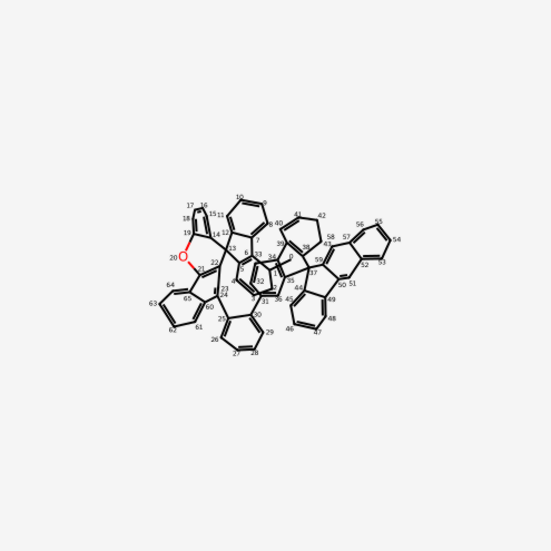 CC1CC=CC2=C1c1ccccc1C21c2ccccc2Oc2c1cc(-c1ccccc1-c1ccc3c(c1)C1(C4=C3C=CCC4)c3ccccc3-c3cc4ccccc4cc31)c1ccccc21